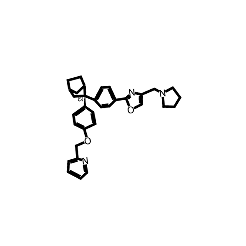 c1ccc(COc2ccc([C@@]3(c4ccc(-c5nc(CN6CCCC6)co5)cc4)CC4CCC3C4)cc2)nc1